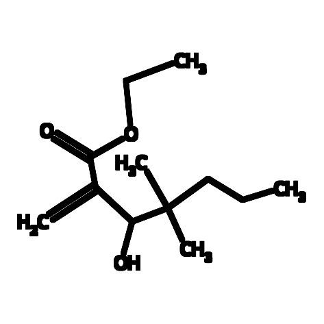 C=C(C(=O)OCC)C(O)C(C)(C)CCC